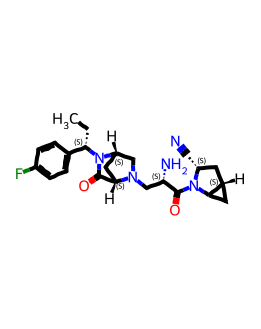 CC[C@@H](c1ccc(F)cc1)N1C(=O)[C@@H]2C[C@H]1CN2C[C@H](N)C(=O)N1C2C[C@H]2C[C@H]1C#N